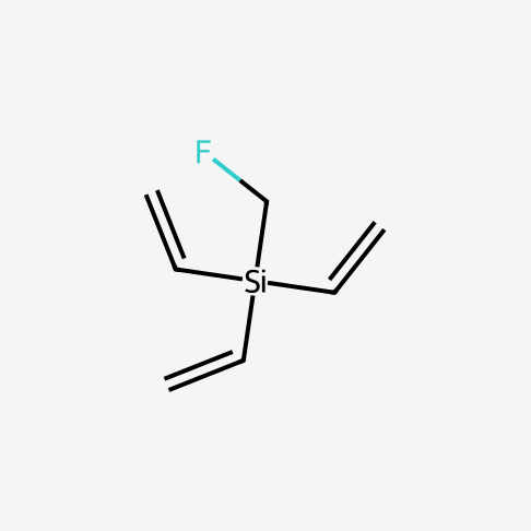 C=C[Si](C=C)(C=C)CF